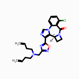 C=CCCN(CCC=C)Cc1noc(-c2ncn3c2[C@@H]2CCN2C(=O)c2c(Cl)cccc2-3)n1